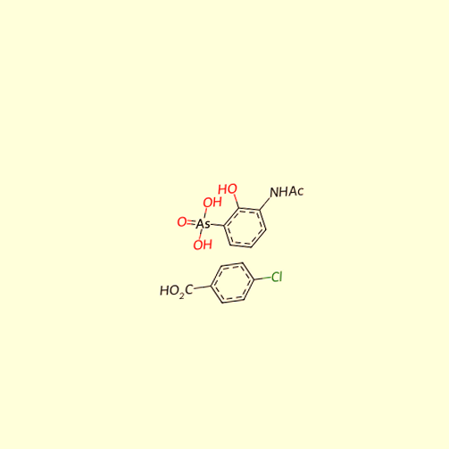 CC(=O)Nc1cccc([As](=O)(O)O)c1O.O=C(O)c1ccc(Cl)cc1